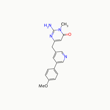 COc1ccc(-c2cncc(Cc3cc(=O)n(C)c(N)n3)c2)cc1